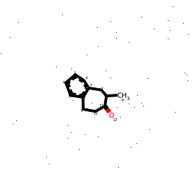 CC1Cc2ccccc2CCC1=O